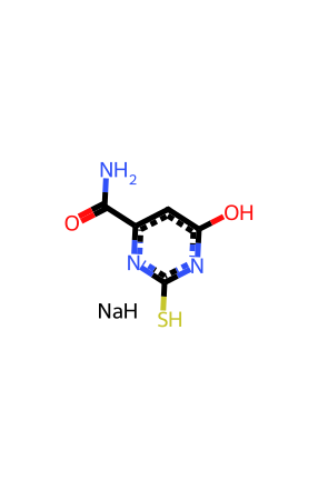 NC(=O)c1cc(O)nc(S)n1.[NaH]